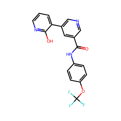 O=C(Nc1ccc(OC(F)(F)F)cc1)c1cncc(-c2cccnc2O)c1